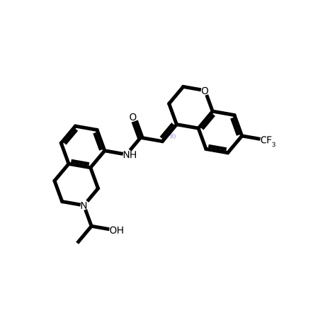 CC(O)N1CCc2cccc(NC(=O)/C=C3\CCOc4cc(C(F)(F)F)ccc43)c2C1